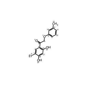 CCc1cc(C(=O)COc2cccc(C)c2)c(O)cc1O